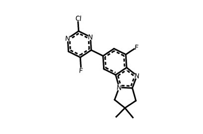 CC1(C)Cc2nc3c(F)cc(-c4nc(Cl)ncc4F)cc3n2C1